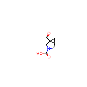 O=CC12CC1CN(C(=O)O)C2